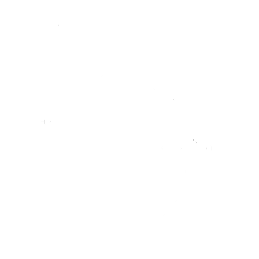 CN(CCOc1ccc(/C(=C(/CCCl)c2ccccc2)c2ccc(O)cc2)cc1)C(=O)OCc1ccccc1